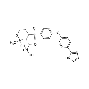 C[N+]1(C)SCCC(S(=O)(=O)c2ccc(Oc3ccc(-c4ncc[nH]4)cc3)cc2)[C@@H]1C(=O)NO